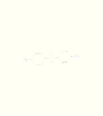 O=C=Nc1ccc(S(=O)(=O)c2ccc(N=C=O)cc2)cc1